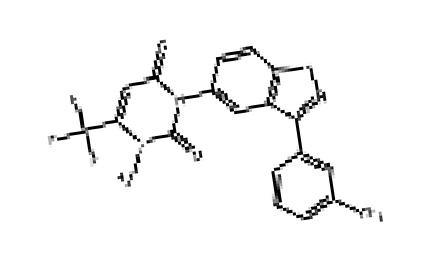 Cc1cc[c]c(-c2nsc3ccc(-n4c(=O)cc(C(F)(F)F)n(C)c4=O)cc23)c1